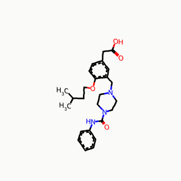 CC(C)CCOc1ccc(CC(=O)O)cc1CN1CCN(C(=O)Nc2ccccc2)CC1